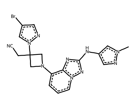 Cn1cc(Nc2nc3c(N4CC(CC#N)(n5cc(Br)cn5)C4)cccn3n2)cn1